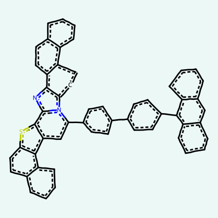 c1ccc2c(-c3ccc(-c4ccc(-c5cc6c(sc7ccc8ccccc8c76)c6nc7c8ccc9ccccc9c8ccc7n56)cc4)cc3)c3ccccc3cc2c1